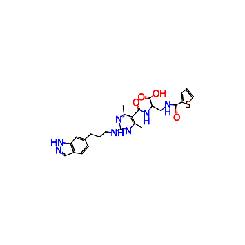 Cc1nc(NCCCc2ccc3cn[nH]c3c2)nc(C)c1C(=O)NC(CNC(=O)c1cccs1)C(=O)O